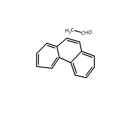 CC=O.c1ccc2c(c1)ccc1ccccc12